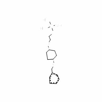 CC(C)(C)[Si](C)(C)OCCO[C@H]1CC[C@@H](OCc2ccccc2)CC1